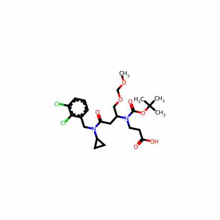 COCOCC(CC(=O)N(Cc1cccc(Cl)c1Cl)C1CC1)N(CCC(=O)O)C(=O)OC(C)(C)C